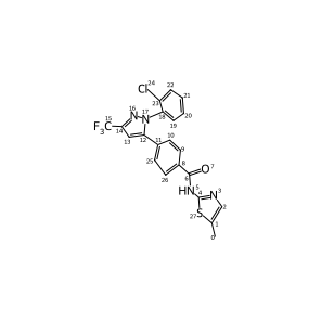 Cc1cnc(NC(=O)c2ccc(-c3cc(C(F)(F)F)nn3-c3ccccc3Cl)cc2)s1